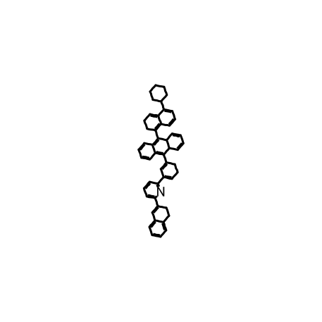 C1=CC2C(C3=CC(c4cccc(C5=Cc6ccccc6CC5)n4)=CCC3)=c3ccccc3=C(C3=c4cccc(C5CCCCC5)c4=CCC3)C2C=C1